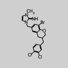 Cn1ccn(Cc2cc(Br)c3c(c2)CC(Cc2ccc(Cl)c(Cl)c2)CO3)c1=N